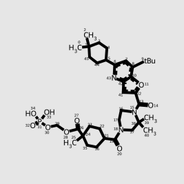 CC1(C)CCC(c2cc(C(C)(C)C)c3oc(C(=O)N4CCN(C(=O)C5CCC(C)(C(=O)OCOP(=O)(O)O)CC5)CC4(C)C)cc3n2)CC1